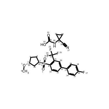 CO[C@@H]1CC[C@@H](S(=O)(=O)c2ccc(-c3ccc(F)cc3)cc2C(F)(F)F)C1.N#CC1(NC(=O)O)CC1